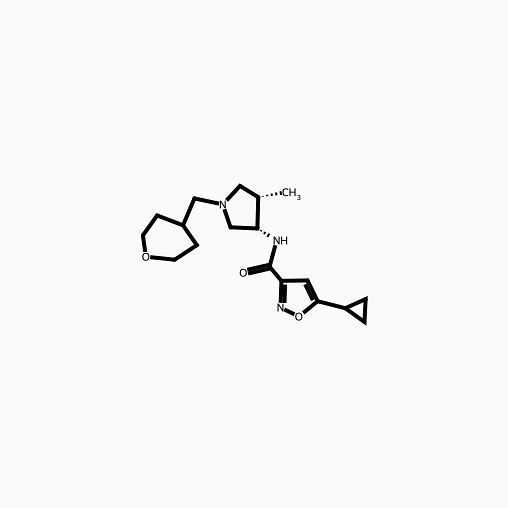 C[C@H]1CN(CC2CCOCC2)C[C@H]1NC(=O)c1cc(C2CC2)on1